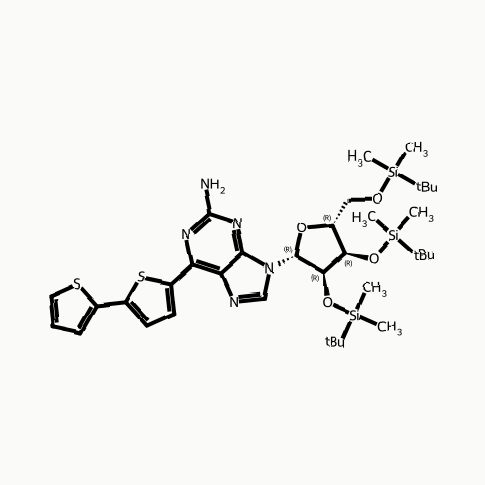 CC(C)(C)[Si](C)(C)OC[C@H]1O[C@@H](n2cnc3c(-c4ccc(-c5cccs5)s4)nc(N)nc32)[C@H](O[Si](C)(C)C(C)(C)C)[C@@H]1O[Si](C)(C)C(C)(C)C